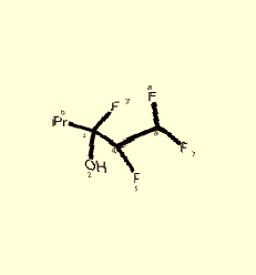 CC(C)C(O)(F)C(F)C(F)F